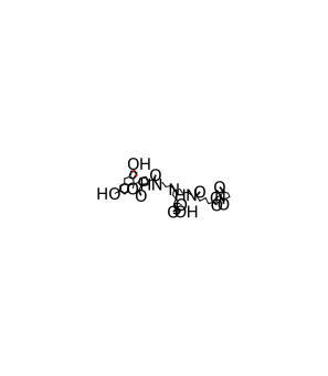 O=C(CCCC(=O)ON1C(=O)CCC1=O)NCCCN(CCCNC(=O)c1ccc2c(c1)C(=O)OC21c2ccc(O)cc2Cc2cc(O)ccc21)CCCS(=O)(=O)O